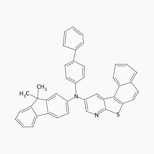 CC1(C)c2ccccc2-c2ccc(N(c3ccc(-c4ccccc4)cc3)c3cnc4sc5ccc6ccccc6c5c4c3)cc21